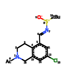 CC(=O)N1CCc2c(/C=N/[S@@+]([O-])C(C)(C)C)cc(Cl)cc2C1